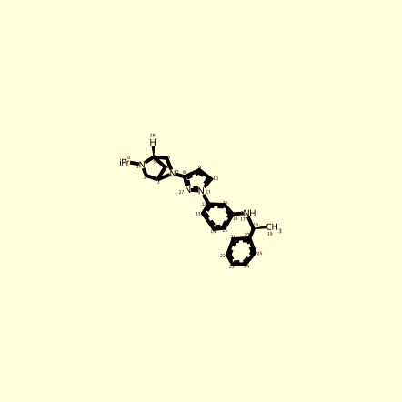 CC(C)N1CC2C[C@H]1CN2c1ccn(-c2cccc(N[C@@H](C)c3ccccc3)c2)n1